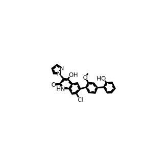 COc1cc(-c2ccccc2O)ccc1-c1cc2c(O)c(-n3cccn3)c(=O)[nH]c2cc1Cl